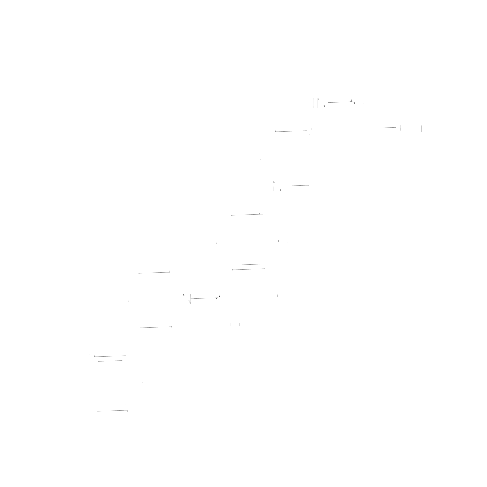 CC(C)(C)OC(=O)NC1CCN(c2ccc(C(=O)N3CCOC(c4ccccc4)C3)c(Cl)c2)CC1